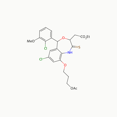 CCOC(=O)CC1OC(c2cccc(OC)c2Cl)c2cc(Cl)cc(OCCCOC(C)=O)c2NC1=S